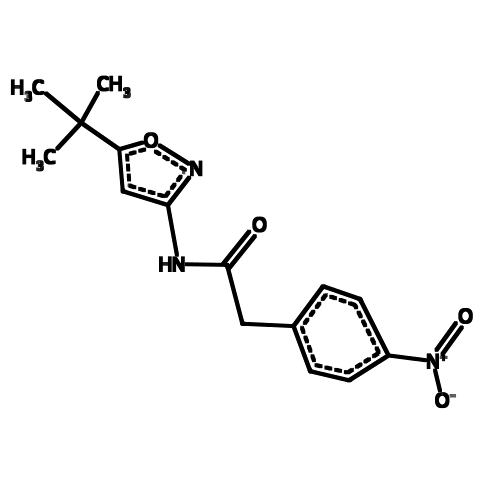 CC(C)(C)c1cc(NC(=O)Cc2ccc([N+](=O)[O-])cc2)no1